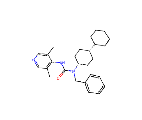 Cc1cncc(C)c1NC(=O)N(Cc1ccccc1)[C@H]1CC[C@@H](C2CCCCC2)CC1